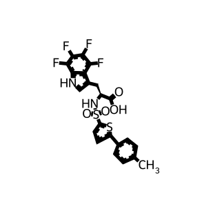 Cc1ccc(-c2ccc(S(=O)(=O)N[C@@H](Cc3c[nH]c4c(F)c(F)c(F)c(F)c34)C(=O)O)s2)cc1